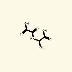 CC(NC(=O)C(=O)O)C(=O)O